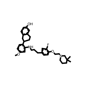 COc1ccc(C2CCc3cc(O)ccc3C2)c(NCCCc2ccc(OCCN3CCCC(C)(C)C3)c(F)c2)c1